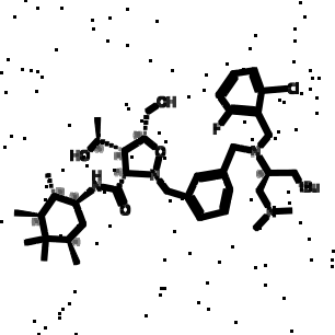 C[C@@H]1[C@@H](NC(=O)[C@@H]2[C@H]([C@H](C)O)[C@H](CO)ON2Cc2cccc(CN(Cc3c(F)cccc3Cl)[C@H](CN(C)C)CC(C)(C)C)c2)C[C@@H](C)C(C)(C)[C@H]1C